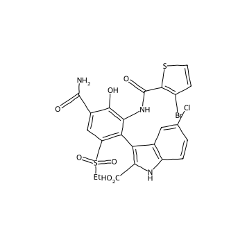 CCS(=O)(=O)c1cc(C(N)=O)c(O)c(NC(=O)c2sccc2Br)c1-c1c(C(=O)O)[nH]c2ccc(Cl)cc12